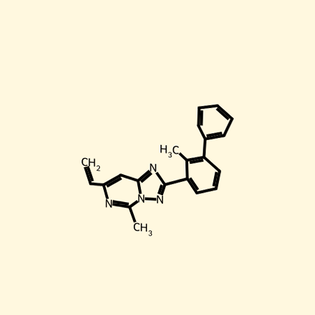 C=Cc1cc2nc(-c3cccc(-c4ccccc4)c3C)nn2c(C)n1